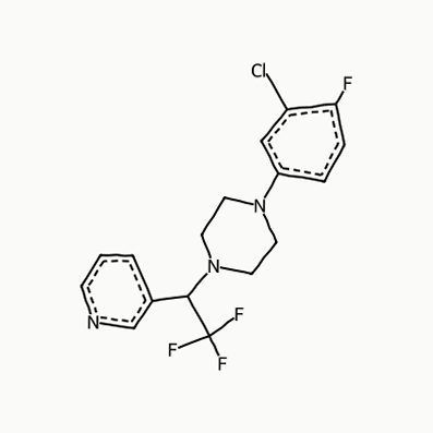 Fc1ccc(N2CCN(C(c3cccnc3)C(F)(F)F)CC2)cc1Cl